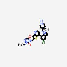 N#CC1(Cn2ccc3cc(Cl)cc(-c4ccnc5cc(Cn6c(=O)cnn(CC(F)(F)F)c6=O)sc45)c32)CCNCC1